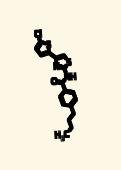 CCCCc1ccc(C(=O)Nc2nc(-c3ccc(Cl)s3)cs2)cc1